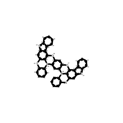 c1ccc2c(c1)Sc1cc3sc4ccccc4c3c3c1B2c1cc2c(cc1O3)Oc1c3c(cc4sc5ccccc5c14)Sc1ccccc1B23